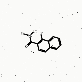 CCN(CC)C(=O)c1ccc2ccccc2c1Br